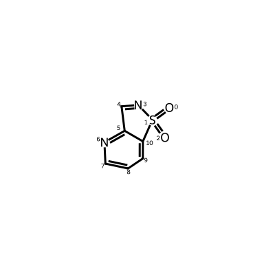 O=S1(=O)N=Cc2ncccc21